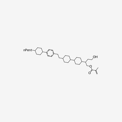 C=C(C)C(=O)OCC(CCO)C1CCC(C2CCC(CCc3ccc(C4CCC(CCCCC)CC4)cc3)CC2)CC1